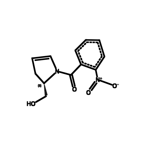 O=C(c1ccccc1[N+](=O)[O-])N1C=CC[C@H]1CO